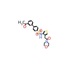 CC(=O)c1cccc(-c2ccc(S(=O)(=O)Nc3cscc3CC(=O)N3CCOCC3)cc2)c1